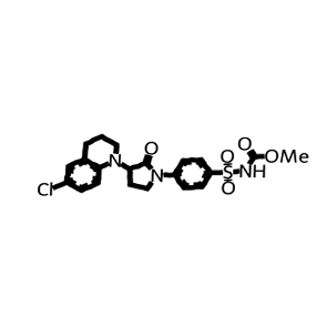 COC(=O)NS(=O)(=O)c1ccc(N2CCC(N3CCCc4cc(Cl)ccc43)C2=O)cc1